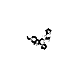 CCN1CCC2C(CNC3(Nc4cccs4)CO3)=C(n3cccc3)SC2(C)C1